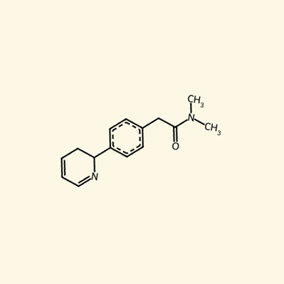 CN(C)C(=O)Cc1ccc(C2CC=CC=N2)cc1